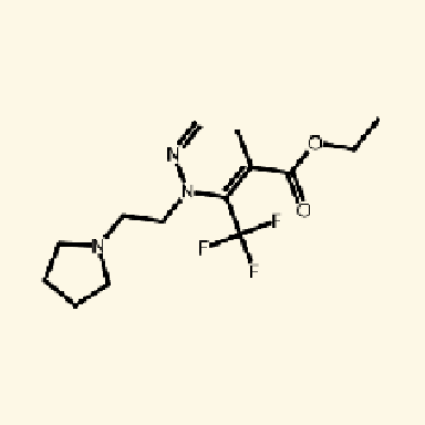 C=NN(CCN1CCCC1)/C(=C(\C)C(=O)OCC)C(F)(F)F